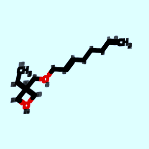 C=CCCC/C=C/COCC1(CC)COC1